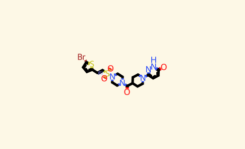 O=C(C1CCN(c2ccc(=O)[nH]n2)CC1)N1CCN(S(=O)(=O)/C=C/c2ccc(Br)s2)CC1